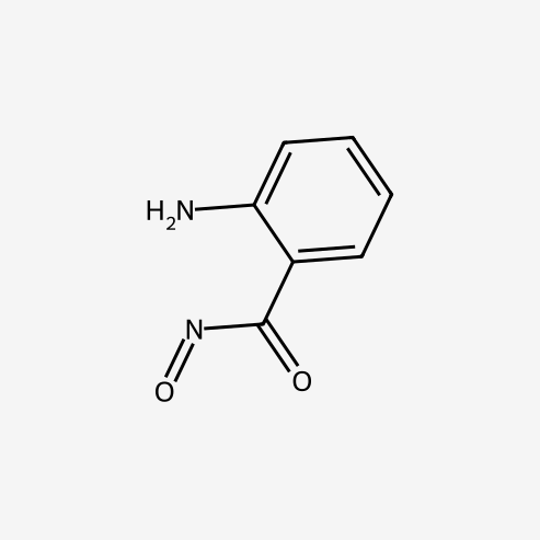 Nc1ccccc1C(=O)N=O